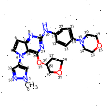 Cn1cc(-n2ccc3nc(Nc4ccc(N5CCOCC5)cc4)nc(O[C@H]4CCOC4)c32)cn1